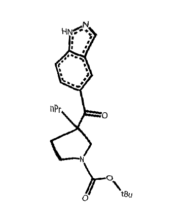 CCCC1(C(=O)c2ccc3[nH]ncc3c2)CCN(C(=O)OC(C)(C)C)C1